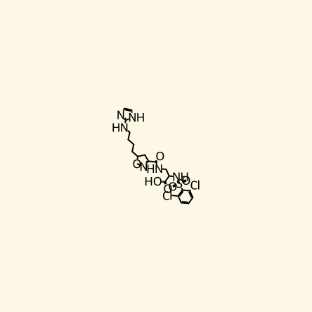 O=C(NCC(NS(=O)(=O)c1c(Cl)cccc1Cl)C(=O)O)C1=NOC(CCCCNc2ncc[nH]2)C1